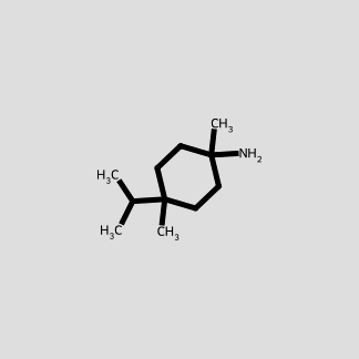 CC(C)C1(C)CCC(C)(N)CC1